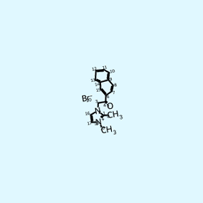 Cc1n(CC(=O)c2ccc3ccccc3c2)cc[n+]1C.[Br-]